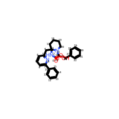 O=C(NC1(Cc2cccc(-c3ccccc3)n2)CCCCN1C(=O)O)OCc1ccccc1